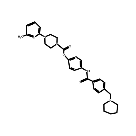 Cc1cccc(N2CCN(C(=O)Oc3ccc(NC(=O)c4ccc(CN5CCCCC5)cc4)cn3)CC2)n1